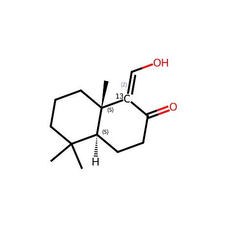 CC1(C)CCC[C@@]2(C)[C@H]1CCC(=O)/[13C]2=C\O